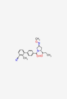 CCC(O)[C@@H]1C/C(=N/OC)CN1C(=O)c1ccc(-c2cccc(C#N)c2C)cc1